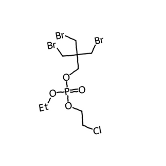 CCOP(=O)(OCCCl)OCC(CBr)(CBr)CBr